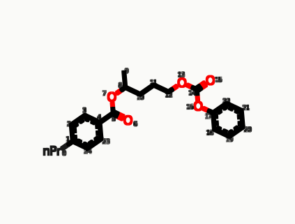 CCCc1ccc(C(=O)OC(C)CCCOC(=O)Oc2ccccc2)cc1